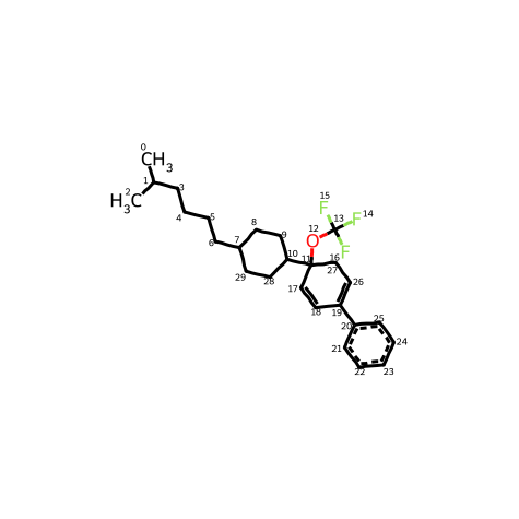 CC(C)CCCCC1CCC(C2(OC(F)(F)F)C=CC(c3ccccc3)=CC2)CC1